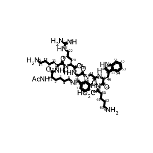 CC(=O)N[C@@H](CCCCN)C(=O)N[C@@H](CCCCN)C(=O)N[C@@H](CCCNC(=N)N)C(=O)N[C@@H](Cc1ccccc1)C(=O)NCC(=O)N[C@@H](Cc1c[nH]c2ccccc12)C(=O)N[C@@H](CCCCN)C(=O)O